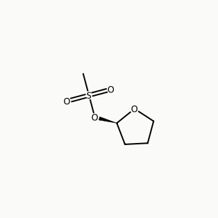 CS(=O)(=O)O[C@@H]1CCCO1